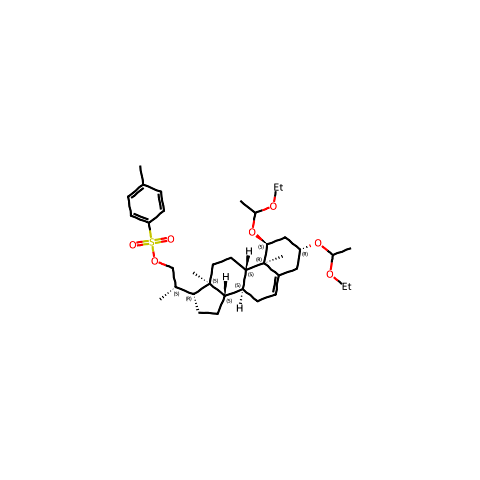 CCOC(C)O[C@@H]1CC2=CC[C@H]3[C@@H]4CC[C@H]([C@H](C)COS(=O)(=O)c5ccc(C)cc5)[C@@]4(C)CC[C@@H]3[C@@]2(C)[C@@H](OC(C)OCC)C1